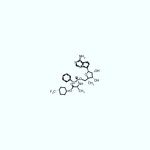 C[C@H](NP(=O)(OC[C@@]1(C)O[C@@H](c2ccc3c(N)ncnn23)[C@H](O)[C@@H]1O)Oc1ccccc1)C(=O)O[C@H]1CC[C@H](C(F)(F)F)CC1